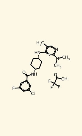 Cc1cnc(N(C)C)nc1N[C@H]1CC[C@@H](NC(=O)c2cc(F)cc(Cl)c2)CC1.O=C(O)C(F)(F)F